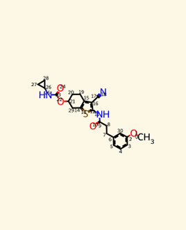 COc1cccc(CCC(=O)Nc2sc3c(c2C#N)CCC(OC(=O)NC2CC2)C3)c1